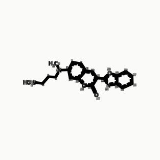 CN(CCCS(=O)(=O)O)c1ccc2cc(-c3nc4ccccc4o3)c(=O)oc2c1